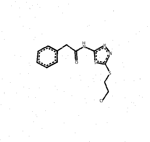 O=C(Cc1ccccc1)Nc1nnc(SCCCl)s1